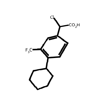 O=C(O)C(Cl)c1ccc(C2CCCCC2)c(C(F)(F)F)c1